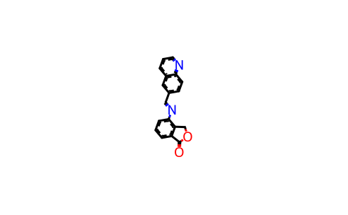 O=C1OCc2c(/N=C/c3ccc4ncccc4c3)cccc21